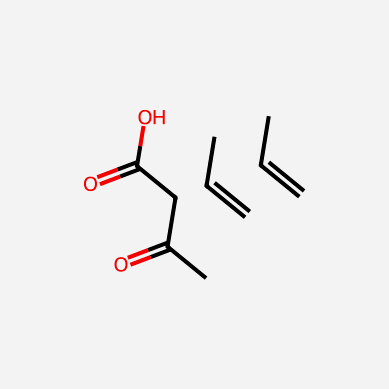 C=CC.C=CC.CC(=O)CC(=O)O